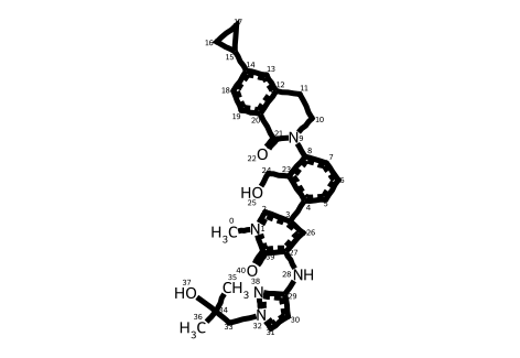 Cn1cc(-c2cccc(N3CCc4cc(C5CC5)ccc4C3=O)c2CO)cc(Nc2ccn(CC(C)(C)O)n2)c1=O